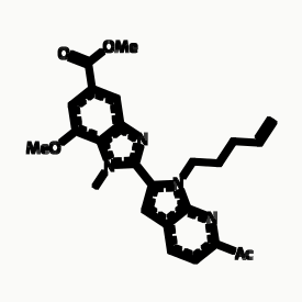 C=CCCCn1c(-c2nc3cc(C(=O)OC)cc(OC)c3n2C)cc2ccc(C(C)=O)nc21